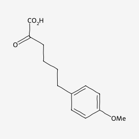 COc1ccc(CCCCC(=O)C(=O)O)cc1